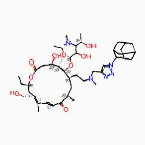 CCO[C@@H](O[C@H]1[C@@H](CCN(C)Cc2cn(C3C4CC5CC(C4)CC3C5)nn2)C[C@@H](C)C(=O)/C=C/C(C)=C/[C@H](CO)[C@@H](CC)OC(=O)C[C@@H](O)[C@@H]1C)C(O)C([C@@H](C)O)N(C)C